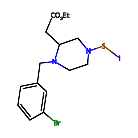 CCOC(=O)CC1CN(SI)CCN1Cc1cccc(Br)c1